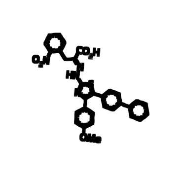 COc1ccc(-c2nc(NN=C(Cc3ccccc3[N+](=O)[O-])C(=O)O)sc2-c2ccc(-c3ccccc3)cc2)cc1